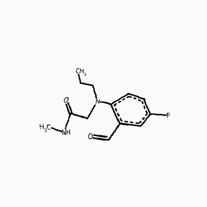 CCCN(CC(=O)NC)c1ccc(F)cc1C=O